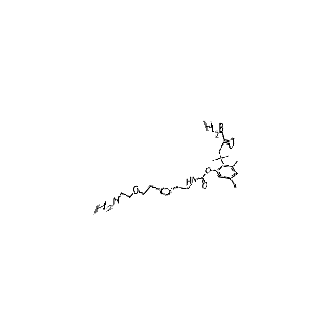 BC(=O)CC(C)(C)c1c(C)cc(C)cc1OC(=O)NCCOCCOCCN